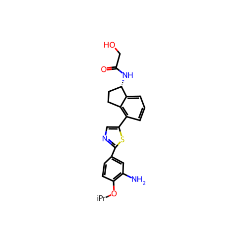 CC(C)Oc1ccc(-c2ncc(-c3cccc4c3CC[C@@H]4NC(=O)CO)s2)cc1N